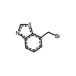 BrCc1cccc2ncsc12